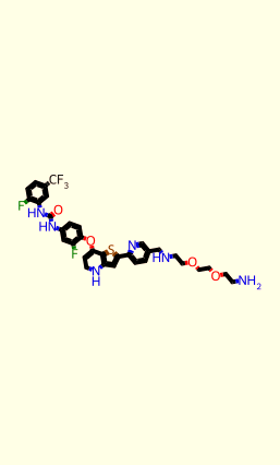 NCCOCCOCCNCc1ccc(-c2cc3c(s2)C(Oc2ccc(NC(=O)Nc4cc(C(F)(F)F)ccc4F)cc2F)=CCN3)nc1